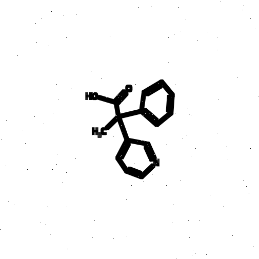 CC(C(=O)O)(c1ccccc1)c1cccnc1